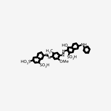 COc1cc(N=Nc2ccc3cc(S(=O)(=O)O)cc(S(=O)(=O)O)c3c2)c(C)cc1N=Nc1c(S(=O)(=O)O)cc2cc(Nc3ccccc3)ccc2c1O